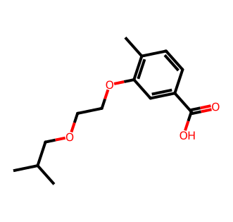 Cc1ccc(C(=O)O)cc1OCCOCC(C)C